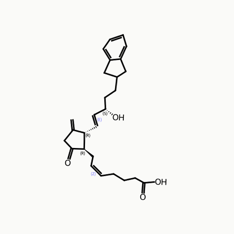 C=C1CC(=O)[C@H](C/C=C\CCCC(=O)O)[C@H]1/C=C/[C@@H](O)CCC1Cc2ccccc2C1